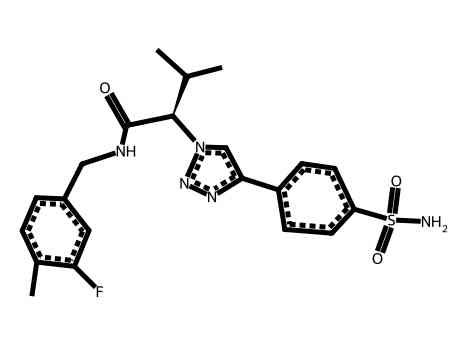 Cc1ccc(CNC(=O)[C@@H](C(C)C)n2cc(-c3ccc(S(N)(=O)=O)cc3)nn2)cc1F